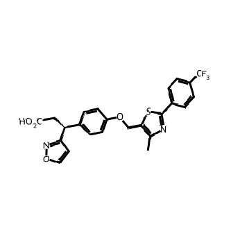 Cc1nc(-c2ccc(C(F)(F)F)cc2)sc1COc1ccc([C@H](CC(=O)O)c2ccon2)cc1